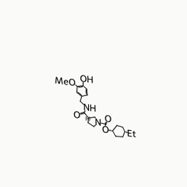 CC[C@H]1CC[C@@H](OC(=O)N2CC[C@@H](C(=O)NCc3ccc(O)c(OC)c3)C2)CC1